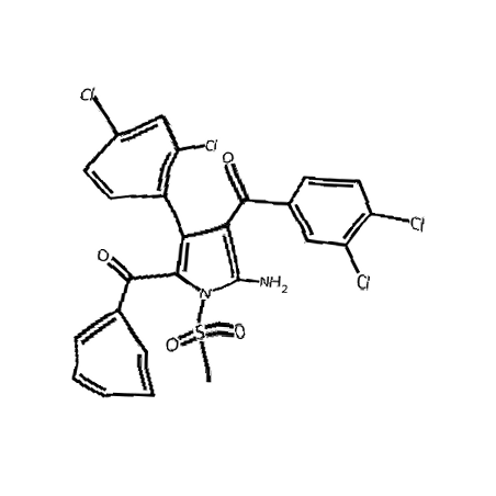 CS(=O)(=O)n1c(N)c(C(=O)c2ccc(Cl)c(Cl)c2)c(-c2ccc(Cl)cc2Cl)c1C(=O)c1ccccc1